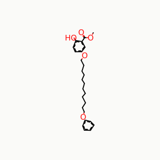 COC(=O)c1cc(OCCCCCCCCCCCCOc2ccccc2)ccc1O